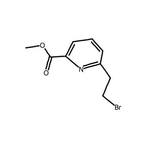 COC(=O)c1cccc(CCBr)n1